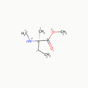 CC[C@@](C)(NC)C(=O)OC